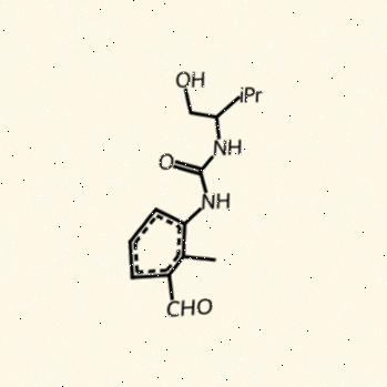 Cc1c(C=O)cccc1NC(=O)NC(CO)C(C)C